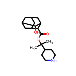 CC(C)(OC(=O)C1C2CC3CC(C2)C(O)C1C3)C1CCNCC1